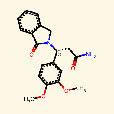 COc1ccc([C@@H](CC(N)=O)N2Cc3ccccc3C2=O)cc1OC